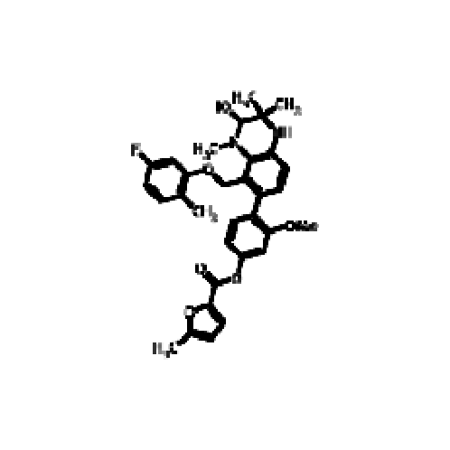 COc1cc(OC(=O)c2ccc(C)o2)ccc1-c1ccc2c(c1COc1cc(F)ccc1C)N(C)C(O)C(C)(C)N2